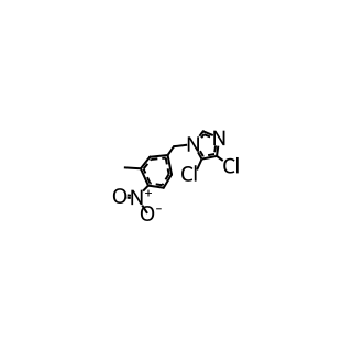 Cc1cc(Cn2cnc(Cl)c2Cl)ccc1[N+](=O)[O-]